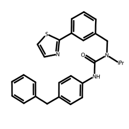 CC(C)N(Cc1cccc(-c2nccs2)c1)C(=O)Nc1ccc(Cc2ccccc2)cc1